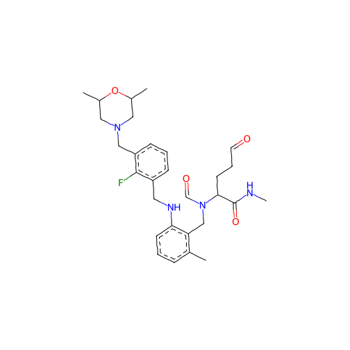 CNC(=O)C(CCC=O)N(C=O)Cc1c(C)cccc1NCc1cccc(CN2CC(C)OC(C)C2)c1F